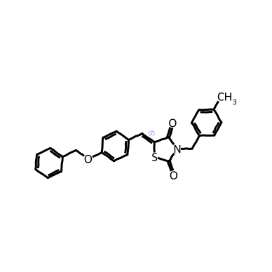 Cc1ccc(CN2C(=O)S/C(=C\c3ccc(OCc4ccccc4)cc3)C2=O)cc1